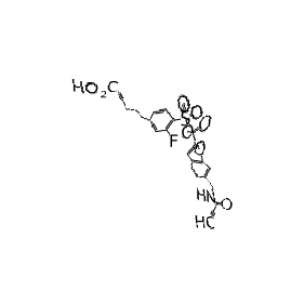 C#CC(=O)NCc1ccc2cc(C(=O)OS(=O)(=O)c3ccc(CCCC#CC(=O)O)cc3F)oc2c1